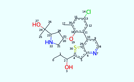 CCC(O)c1cc2nccc(-c3cc(Cl)cc(C)c3O[C@@H]3CNC(C(C)(C)O)C3)c2s1